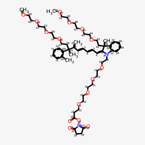 C=C(/C=C/C=C/C=C1/N(CCOCCOCCOCCOCCC(=O)ON2C(=O)CCC2=O)c2ccccc2C1(C)CCOCCOCCOCCOC)C(C)(CCOCCOCCOCCOC)c1ccccc1C